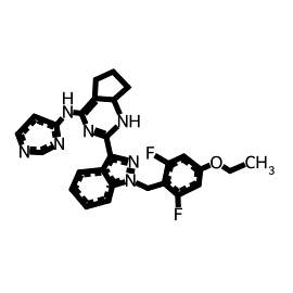 CCOc1cc(F)c(Cn2nc(C3=NC(Nc4ccncn4)=C4CCCC4N3)c3ccccc32)c(F)c1